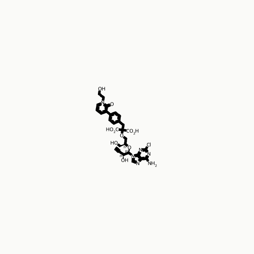 C#C[C@@H](O)[C@@H](O[C@@H](CO)COC(Cc1ccc(-c2cccn(CCO)c2=O)cc1)(C(=O)O)C(=O)O)n1cnc2c(N)nc(Cl)nc21